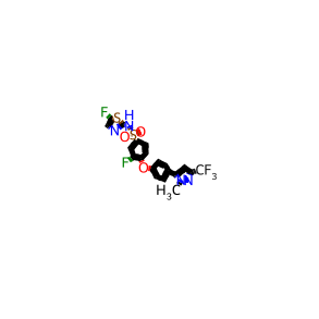 Cn1nc(C(F)(F)F)cc1-c1ccc(Oc2ccc(S(=O)(=O)Nc3ncc(F)s3)cc2F)cc1